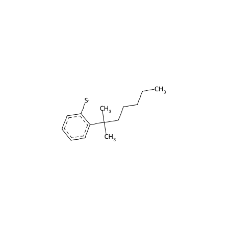 CCCCCC(C)(C)c1ccccc1[S]